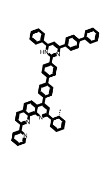 C[C@@H]1C=CC=CC1c1cc(-c2ccc(-c3ccc(C4=NC(c5ccc(-c6ccccc6)cc5)=CC(c5ccccc5)N4)cc3)cc2)c2ccc3ccc(-c4ccccn4)nc3c2n1